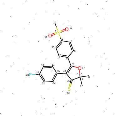 CC1(C)OC(c2ccc(S(C)(=O)=O)cc2)=C(c2ccc(F)cc2)C1=S